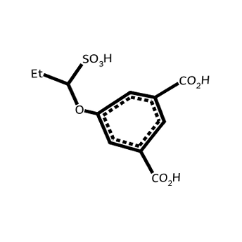 CCC(Oc1cc(C(=O)O)cc(C(=O)O)c1)S(=O)(=O)O